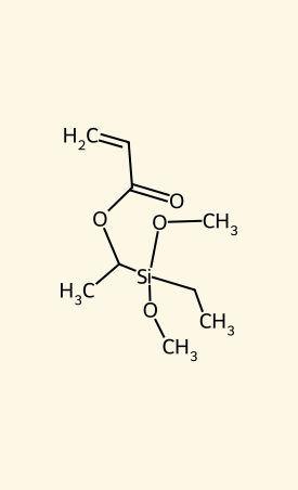 C=CC(=O)OC(C)[Si](CC)(OC)OC